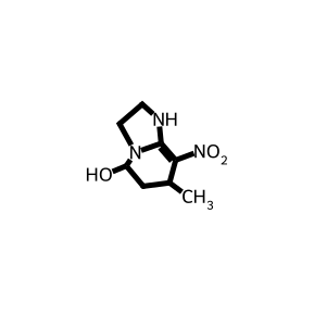 CC1CC(O)N2CCNC2=C1[N+](=O)[O-]